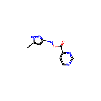 Cc1cc(NOC(=O)c2ccncn2)n[nH]1